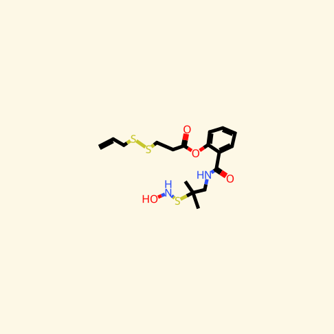 C=CCSSCCC(=O)Oc1ccccc1C(=O)NCC(C)(C)SNO